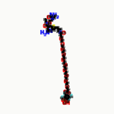 CCCN(OCCN(CC)C(N)=O)C(=O)C1=Cc2sc(CC3CN(C(=O)CCOCCOCCOCCOCCOCCOCCOCCOCCOCCOCCC(=O)Oc4c(F)c(F)c(S(=O)(=O)O)c(F)c4F)C3)cc2N=C(N)C1